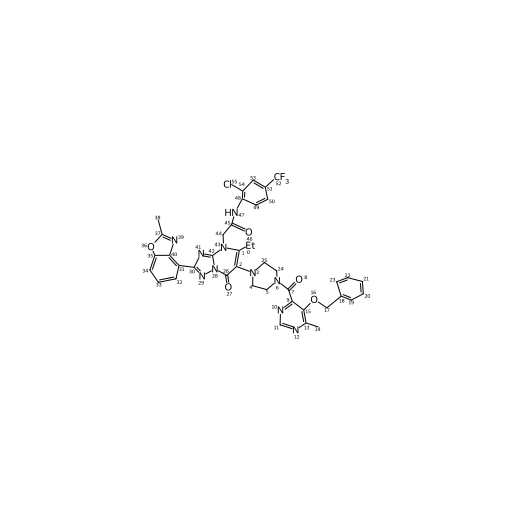 CCc1c(N2CCN(C(=O)c3ncnc(C)c3OCc3ccccc3)CC2)c(=O)n2nc(-c3cccc4oc(C)nc34)nc2n1CC(=O)Nc1ccc(C(F)(F)F)cc1Cl